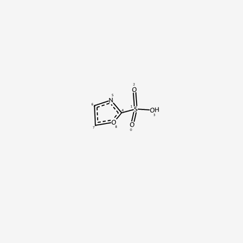 O=S(=O)(O)c1ncco1